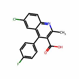 Cc1nc2ccc(Cl)cc2c(-c2ccc(F)cc2)c1C(=O)O